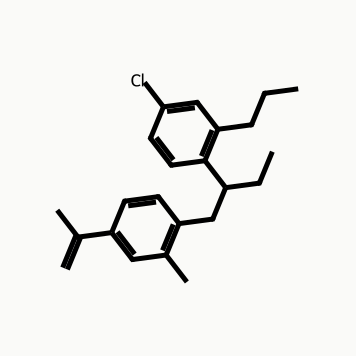 C=C(C)c1ccc(CC(CC)c2ccc(Cl)cc2CCC)c(C)c1